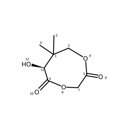 CC1(C)COC(=O)COC(=O)[C@H]1O